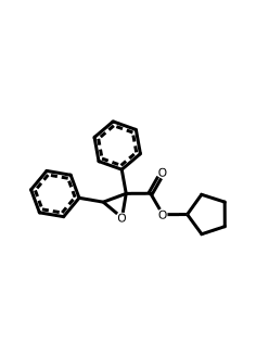 O=C(OC1CCCC1)C1(c2ccccc2)OC1c1ccccc1